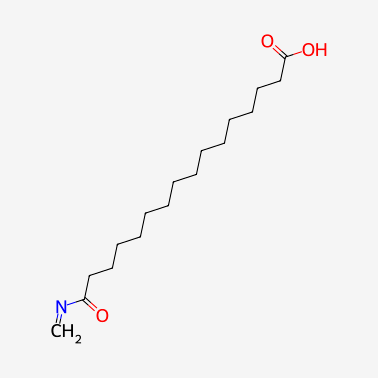 C=NC(=O)CCCCCCCCCCCCCCC(=O)O